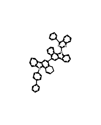 C1=Cc2c(c(-c3cc4c5ccccc5n(-c5nc(-c6ccccc6)c6ccccc6n5)c4c4ccccc34)cc3c4ccccc4n(-c4ccc(-c5ccccc5)cc4)c23)CC1